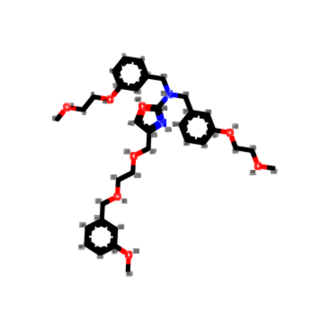 COCCOc1cccc(CN(Cc2cccc(OCCOC)c2)c2nc(COCCOCc3cccc(OC)c3)co2)c1